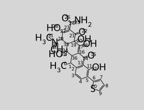 CC1c2ccc(-c3cccs3)c(O)c2C(=O)C2=C(O)C3(O)C(=O)C(C(N)=O)=C(O)C(N(C)C)C3C(O)C21